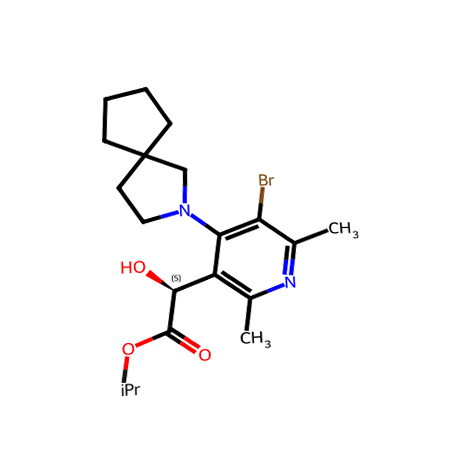 Cc1nc(C)c([C@H](O)C(=O)OC(C)C)c(N2CCC3(CCCC3)C2)c1Br